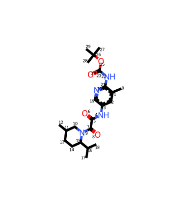 Cc1cc(NC(=O)C(=O)N2CC(C)CCC2C(C)C)cnc1NC(=O)OC(C)(C)C